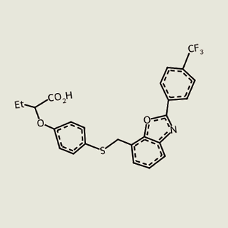 CCC(Oc1ccc(SCc2cccc3nc(-c4ccc(C(F)(F)F)cc4)oc23)cc1)C(=O)O